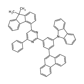 CC1(C)c2ccccc2-c2c(-c3cc(-c4ccccc4)nc(-c4cc(-c5cc6ccccc6c6ccccc56)cc(-n5c6ccccc6c6ccccc65)c4)n3)cccc21